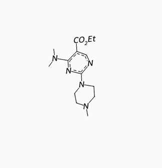 CCOC(=O)c1cnc(N2CCN(C)CC2)nc1N(C)C